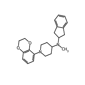 CN(C1CCN(c2cccc3c2OCCO3)CC1)C1Cc2ccccc2C1